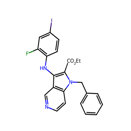 CCOC(=O)c1c(Nc2ccc(I)cc2F)c2cnccc2n1Cc1ccccc1